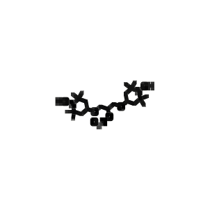 CC1(C)CC(OCC(COC2CC(C)(C)N(O)C(C)(C)C2)O[N+](=O)[O-])CC(C)(C)N1O